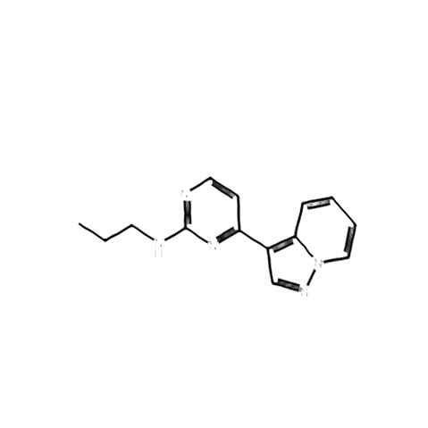 CCCNc1nccc(-c2cnn3ccccc23)n1